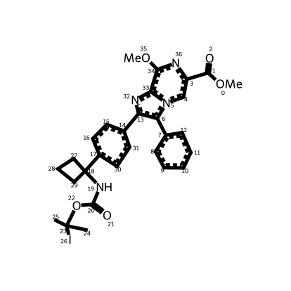 COC(=O)c1cn2c(-c3ccccc3)c(-c3ccc(C4(NC(=O)OC(C)(C)I)CCC4)cc3)nc2c(OC)n1